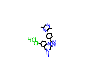 Cc1cnc(C)c([C@H]2CC[C@H](c3nnc4n3-c3ccc(Cl)cc3CNC4)CC2)n1.Cl